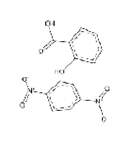 O=C(O)c1ccccc1O.O=[N+]([O-])c1ccc([N+](=O)[O-])cc1